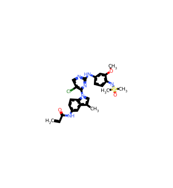 C=CC(=O)Nc1ccc2c(c1)c(C)cn2-c1nc(Nc2ccc(N=S(C)(C)=O)c(OC)c2)ncc1Cl